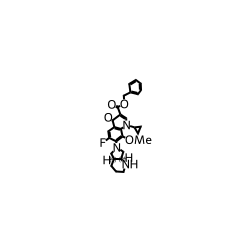 COc1c(N2C[C@@H]3CCCN[C@@H]3C2)c(F)cc2c(=O)c(C(=O)OCc3ccccc3)cn(C3CC3)c12